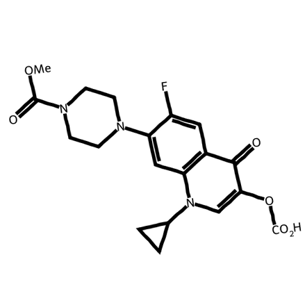 COC(=O)N1CCN(c2cc3c(cc2F)c(=O)c(OC(=O)O)cn3C2CC2)CC1